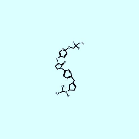 CC(C)[S+]([O-])C1CC=C(Cc2ncc(N3CC[C@@H](Oc4ccc(OCC(C)(F)F)nc4)C3=O)cn2)C1